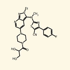 CCn1nc2ncc(N3CCN(C(=O)C(O)CO)CC3)cc2c1N(C)c1nc(-c2ccc(F)cc2)c(C#N)s1